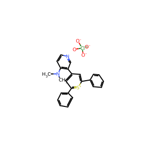 CN(C)c1ccncc1-c1cc(-c2ccccc2)[s+]c(-c2ccccc2)c1.[O-][Cl+3]([O-])([O-])[O-]